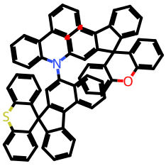 c1ccc(-c2ccccc2N(c2ccc3c(c2)C2(c4ccccc4Oc4ccccc42)c2ccccc2-3)c2cc3c(c4ccccc24)-c2ccccc2C32c3ccccc3Sc3ccccc32)cc1